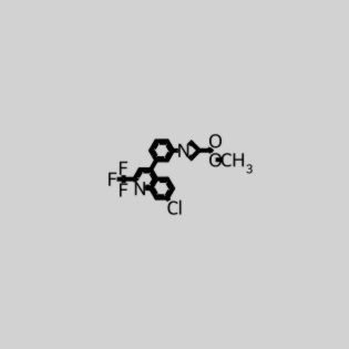 COC(=O)C1CN(c2cccc(-c3cc(C(F)(F)F)nc4cc(Cl)ccc34)c2)C1